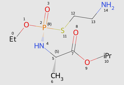 CCO[P@](=O)(N[C@@H](C)C(=O)OC(C)C)SCCN